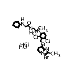 Cc1nc2c(OCc3c(Cl)ccc(N(C)C(=O)CNC(=O)CNc4ccccc4)c3Cl)cccn2c1Br.Cl.Cl